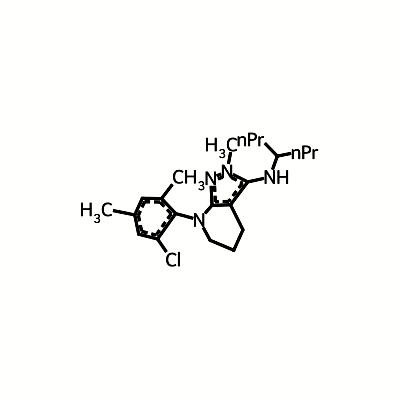 CCCC(CCC)Nc1c2c(nn1C)N(c1c(C)cc(C)cc1Cl)CCC2